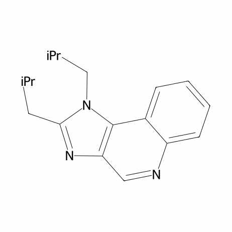 CC(C)Cc1nc2cnc3ccccc3c2n1CC(C)C